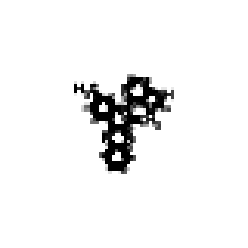 Cc1ccc(-c2nc3ccccc3nc2C(C)Nc2ncnc3[nH]cnc23)cc1